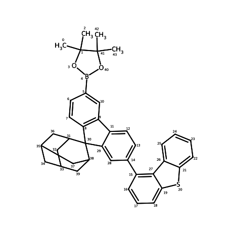 CC1(C)OB(c2ccc3c(c2)-c2ccc(-c4cccc5sc6ccccc6c45)cc2C32C3CC4CC(C3)CC2C4)OC1(C)C